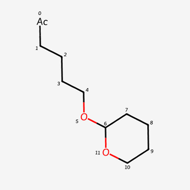 CC(=O)CCCCOC1CCCCO1